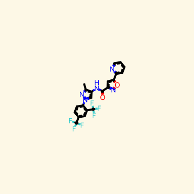 Cc1nn(-c2ccc(C(F)(F)F)cc2C(F)(F)F)cc1NC(=O)c1cc(-c2ccccn2)on1